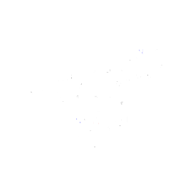 CC(=O)Oc1ccc2c(c1)C(NS(=O)(=O)OCC(Cl)(Cl)Cl)CC1C2CCC2(C)C(c3cccnc3)CCC12